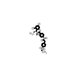 CC[C@H](c1ccc(Cl)cc1Cl)N(C)C(=O)c1ccc(NC(=O)Cc2ccc(S(=O)(=O)CC)cc2)cc1